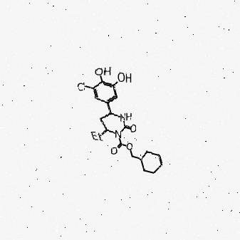 CCC1CC(c2cc(O)c(O)c(Cl)c2)NC(=O)N1C(=O)OCC1CCCCC1